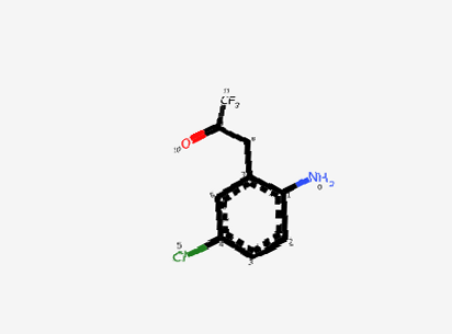 Nc1ccc(Cl)cc1CC(=O)C(F)(F)F